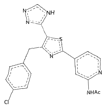 CC(=O)Nc1cc(-c2nc(Cc3ccc(Cl)cc3)c(-c3nnc[nH]3)s2)ccn1